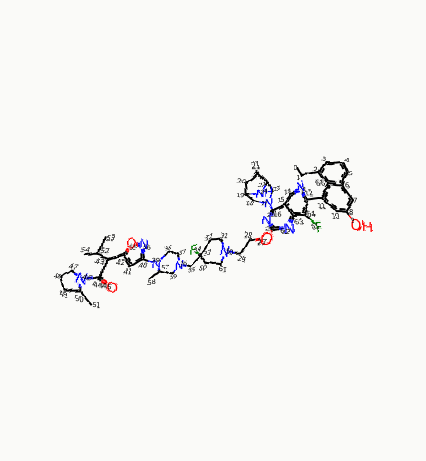 CCc1cccc2cc(O)cc(-c3ncc4c(N5CC6CCC(C5)N6)nc(OCCN5CCC(F)(CN6CCN(c7cc(C(C(=O)N8CCCC8C)C(C)C)on7)C(C)C6)CC5)nc4c3F)c12